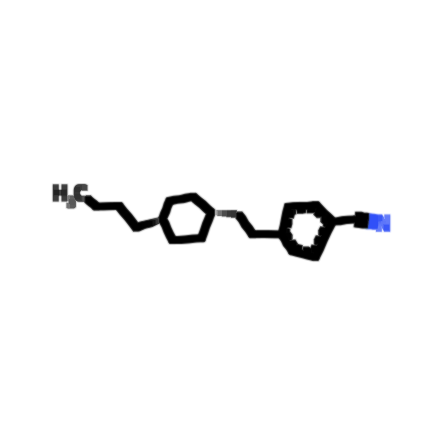 CCCC[C@H]1CC[C@H](CCc2ccc(C#N)cc2)CC1